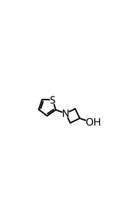 OC1CN(c2cccs2)C1